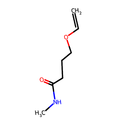 C=COCCCC(=O)NC